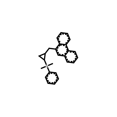 C[Si](C)(c1ccccc1)C1CC1Cc1cc2ccccc2c2ccccc12